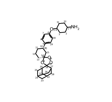 NC1CCC(Oc2ccc([C@@H]3CCC[C@]4(C3)OOC3(O4)C4CC5CC(C4)CC3C5)cc2)CC1